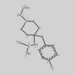 COBN1CCC(Cc2ccc(Cl)cc2)(N[S+]([O-])C(C)(C)C)CC1